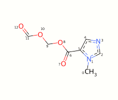 Cn1cncc1C(=O)OCO[C]=O